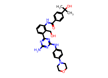 CC(C)(O)c1ccc(C(=O)Nc2cccc(-c3nc(N)nc(Nc4ccc(N5CCOCC5)cc4)n3)c2CO)cc1